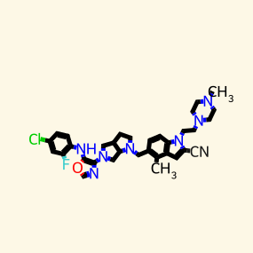 Cc1c(CN2CCC3CN(c4ncoc4Nc4ccc(Cl)cc4F)CC32)ccc2c1cc(C#N)n2CCN1CCN(C)CC1